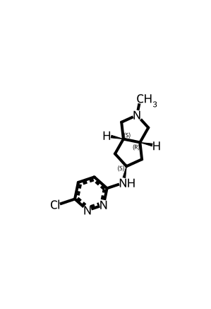 CN1C[C@H]2C[C@H](Nc3ccc(Cl)nn3)C[C@H]2C1